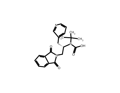 CC(C)(C)N(C(=O)O)[C@@H](Cc1cccnc1)CN1C(=O)c2ccccc2C1=O